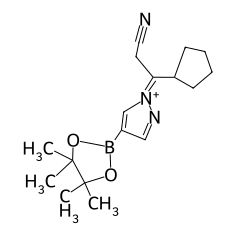 CC1(C)OB(C2=C/[N+](=C(\CC#N)C3CCCC3)N=C2)OC1(C)C